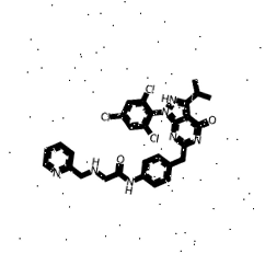 CC(C)c1[nH]n(-c2c(Cl)cc(Cl)cc2Cl)c2nc(Cc3ccc(NC(=O)CNCc4ccccn4)cc3)nc(=O)c1-2